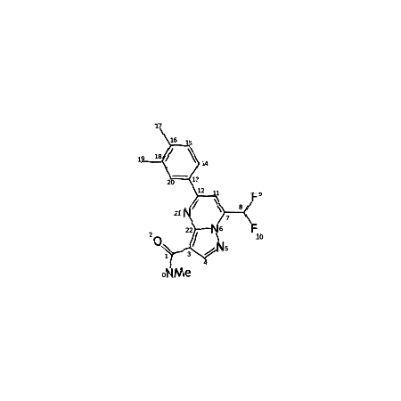 CNC(=O)c1cnn2c(C(F)F)cc(-c3ccc(C)c(C)c3)nc12